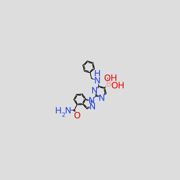 NC(=O)c1cccc2c1cnn2-c1ncc(B(O)O)c(NCc2ccccc2)n1